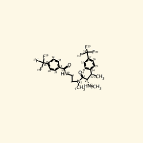 CN[C@H](C(=O)N(C)CCNC(=O)c1ccc(C(F)(F)F)cc1)[C@H](C)c1ccc(C(F)(F)F)cc1